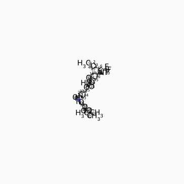 Cc1ccc(-c2cc(C(F)(F)F)nn2-c2ccc(S(=O)(=O)NC(=O)OCC3CCN(/[N+]([O-])=N\OCOC(=O)OC(C)(C)C)CC3)cc2)cc1